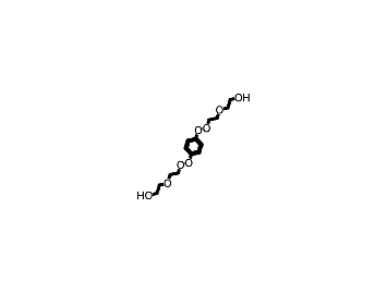 OCCOCCOOc1ccc(OOCCOCCO)cc1